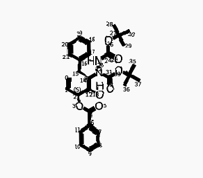 C=C[C@H](OC(=O)c1ccccc1)[C@H](O)[C@@H](Cc1ccccc1)N(NC(=O)OC(C)(C)C)C(=O)OC(C)(C)C